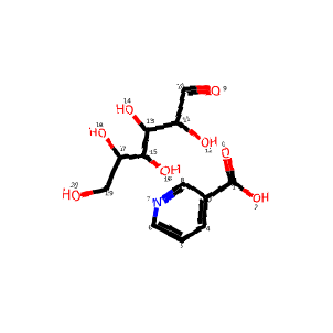 O=C(O)c1cccnc1.O=CC(O)C(O)C(O)C(O)CO